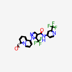 O=C=C1C=CC=C2C(n3ncc(C(=O)Nc4ccnc(C(F)(F)F)c4)c3C(F)(F)F)=CC=CN12